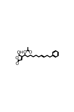 CC(=O)OC(CCCCCC=CCCc1ccccc1)C1=CC(=O)OC1O